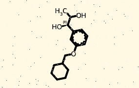 CC(O)[C@H](O)c1cccc(OCC2CCCCC2)c1